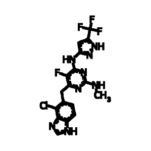 CNc1nc(Cc2ccc3[nH]cnc3c2Cl)c(F)c(Nc2cc(C(F)(F)F)[nH]n2)n1